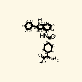 COC(=O)C(N)[C@H]1CC[C@H](C(=O)Nc2ccnc3[nH]c(-c4ccccc4)cc23)CC1